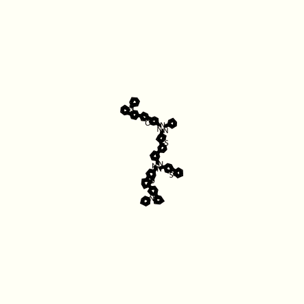 c1ccc(-c2nc(-c3ccc4c(c3)oc3cc(-c5ccc6c7ccccc7n(-c7ccccc7)c6c5)ccc34)nc(-c3ccc4c(c3)sc3ccc(-c5cccc(-c6nc(-c7ccc8c(c7)oc7c(-c9ccc%10c%11ccccc%11n(-c%11ccccc%11)c%10c9)cccc78)nc(-c7ccc8c(c7)sc7ccccc78)n6)c5)cc34)n2)cc1